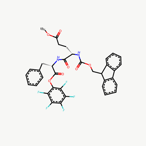 CC(C)(C)OC(=O)CC[C@H](NC(=O)OCC1c2ccccc2-c2ccccc21)C(=O)N[C@@H](Cc1ccccc1)C(=O)Oc1c(F)c(F)c(F)c(F)c1F